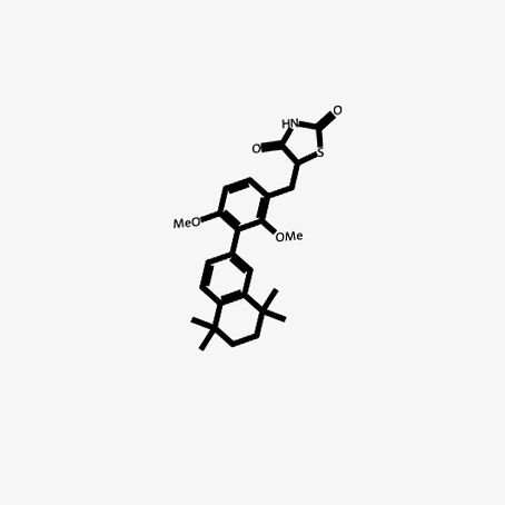 COc1ccc(CC2SC(=O)NC2=O)c(OC)c1-c1ccc2c(c1)C(C)(C)CCC2(C)C